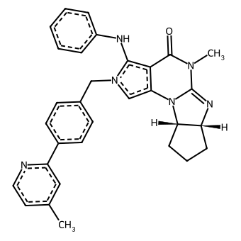 Cc1ccnc(-c2ccc(Cn3cc4c(c3Nc3ccccc3)C(=O)N(C)C3=N[C@@H]5CCC[C@@H]5N34)cc2)c1